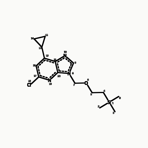 C[Si](C)(C)CCOCn1cnc2c(C3CC3)cc(Cl)nc21